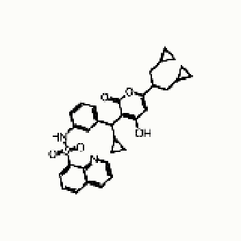 O=c1oc(C(CC2CC2)CC2CC2)cc(O)c1C(c1cccc(NS(=O)(=O)c2cccc3cccnc23)c1)C1CC1